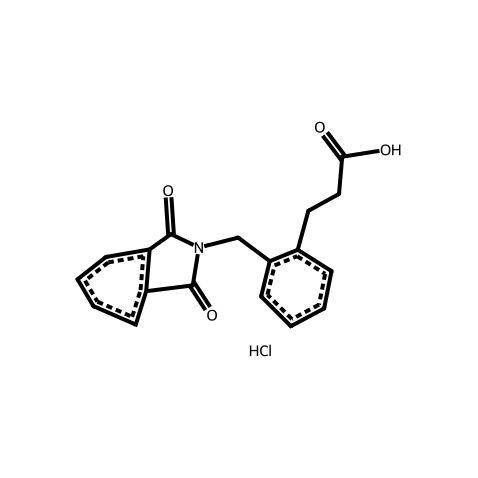 Cl.O=C(O)CCc1ccccc1CN1C(=O)c2ccccc2C1=O